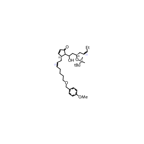 CC/C=C\C[C@H](CC(O)C1C(=O)C=C[C@@H]1C/C=C\CCCCOCc1ccc(OC)cc1)O[Si](C)(C)C(C)(C)C